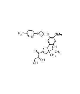 COc1ccc([C@@H]2CN(C(=O)[C@@H](O)CO)C[C@@]2(C)[C@@H](C)O)cc1OC1CN(c2ccc(C)cn2)C1